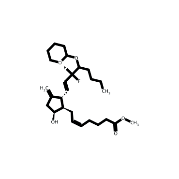 C=C1C[C@H](O)[C@H](C/C=C\CCCC(=O)OC)[C@H]1/C=C/C(F)(F)C(CCCC)OC1CCCCO1